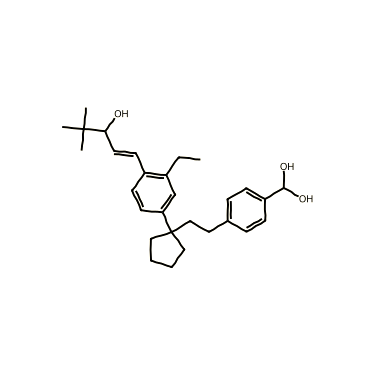 CCc1cc(C2(CCc3ccc(C(O)O)cc3)CCCC2)ccc1C=CC(O)C(C)(C)C